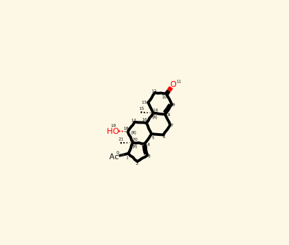 CC(=O)C1CC=C2C3CCC4=CC(=O)CC[C@]4(C)C3C[C@@H](O)[C@@]21C